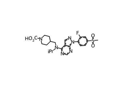 CC(C)N(CC1CCN(C(=O)O)CC1)c1ncnc2c1cnn2-c1ccc(S(C)(=O)=O)cc1F